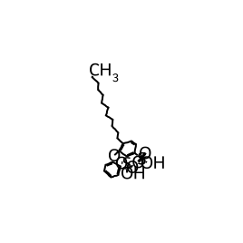 CCCCCCCCCCCCc1ccc(S(=O)(=O)O)c(S(=O)(=O)O)c1Oc1ccccc1